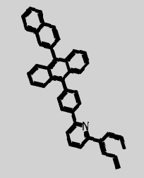 C=C/C=C(\C=C/C)c1cccc(-c2ccc(-c3c4ccccc4c(-c4ccc5ccccc5c4)c4ccccc34)cc2)n1